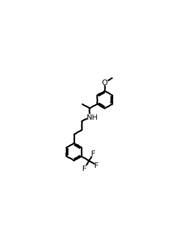 COc1cccc(C(C)NCCCc2cccc(C(F)(F)F)c2)c1